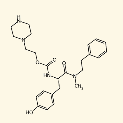 CN(CCc1ccccc1)C(=O)[C@H](Cc1ccc(O)cc1)NC(=O)OCCN1CCNCC1